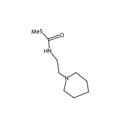 CSC(=O)NCCN1CCCCC1